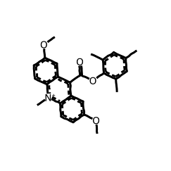 COc1ccc2c(c1)c(C(=O)Oc1c(C)cc(C)cc1C)c1cc(OC)ccc1[n+]2C